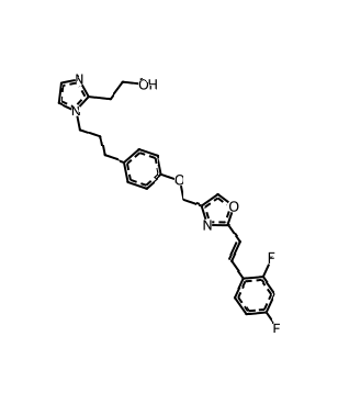 OCCc1nccn1CCCc1ccc(OCc2coc(C=Cc3ccc(F)cc3F)n2)cc1